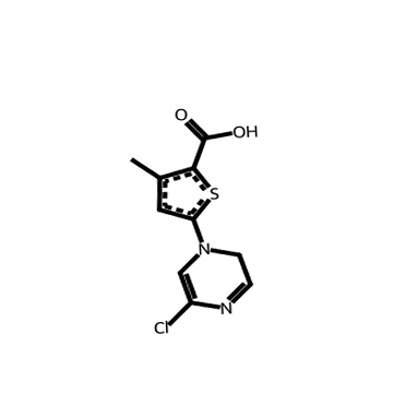 Cc1cc(N2C=C(Cl)N=CC2)sc1C(=O)O